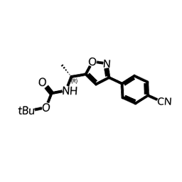 C[C@@H](NC(=O)OC(C)(C)C)c1cc(-c2ccc(C#N)cc2)no1